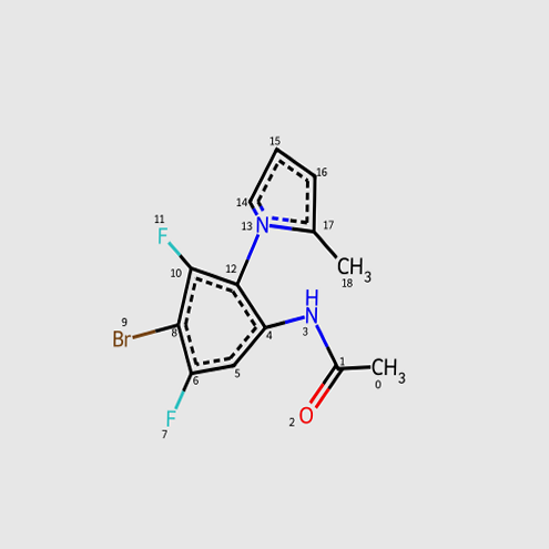 CC(=O)Nc1cc(F)c(Br)c(F)c1-n1cccc1C